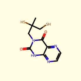 CC(S)(CS)Cn1c(=O)[nH]c2nccnc2c1=O